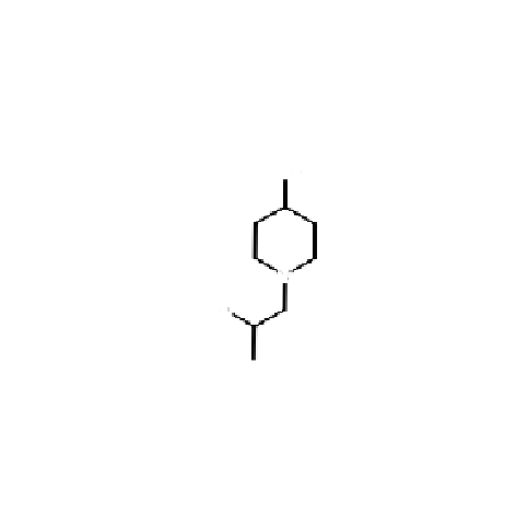 CC(O)CN1CCC(C(=O)O)CC1